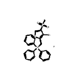 CS(=O)(=O)c1csc(C[P+](c2ccccc2)(c2ccccc2)c2ccccc2)c1Br.[Br-]